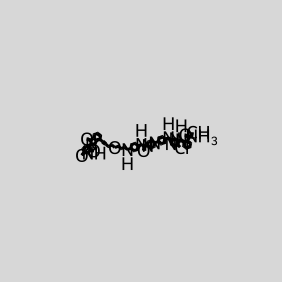 CNC(=O)c1ccccc1Nc1nc(Nc2ccc(N3CCN(C(=O)NC4CCC(NCCCOCCC#Cc5cccc6c5CN(C5CCC(=O)NC5=O)C6=O)CC4)CC3)cc2)ncc1Cl